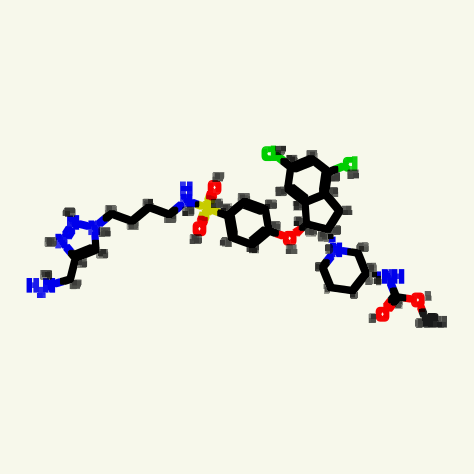 CC(C)(C)OC(=O)N[C@@H]1CCCN([C@H]2Cc3c(Cl)cc(Cl)cc3[C@@H]2Oc2ccc(S(=O)(=O)NCCCCn3cc(CN)nn3)cc2)C1